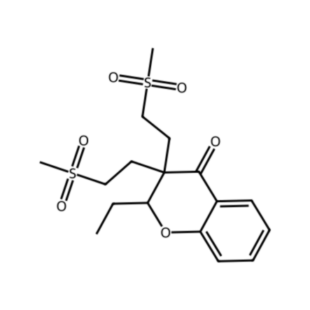 CCC1Oc2ccccc2C(=O)C1(CCS(C)(=O)=O)CCS(C)(=O)=O